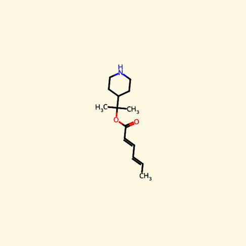 C/C=C/C=C/C(=O)OC(C)(C)C1CCNCC1